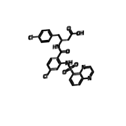 O=C(O)CC(Cc1ccc(Cl)cc1)NC(=O)c1ccc(Cl)cc1NS(=O)(=O)c1cccc2nccnc12